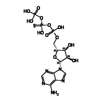 Nc1ncnc2c1ncn2[C@@H]1O[C@H](COP(=O)(O)OP(O)(=S)OP(=O)(O)O)[C@@H](O)[C@H]1O